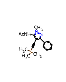 CC(=O)Nc1c(C#CS(C)(C)C)c(-c2ccccc2)nn1C